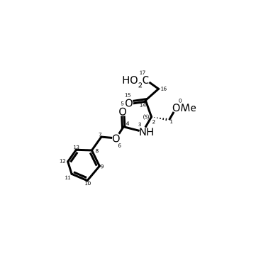 COC[C@H](NC(=O)OCc1ccccc1)C(=O)CC(=O)O